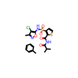 Cc1ccccc1.Cc1noc(NS(=O)(=O)c2ccsc2C(=O)NC(=O)C(C)C)c1Cl